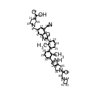 Cc1c(-c2nc3cc(CN4CC[C@@H](C(=O)O)C4)cc(C#N)c3o2)cccc1-c1cccc(C2NC3=C(CN(C(=O)CN4CCC4)C3)S2)c1C